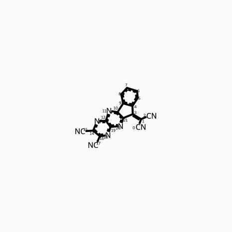 N#CC(C#N)=C1c2ccccc2-c2nc3nc(C#N)c(C#N)nc3nc21